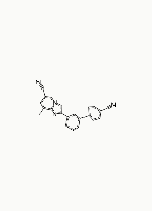 Cc1cc(C#N)cn2cc(-c3cccc(-c4ccc(C#N)cc4)c3)nc12